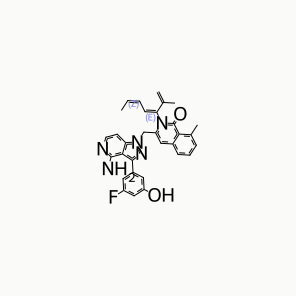 C=C(C)/C(=C\C=C/C)n1c(Cn2nc(-c3cc(O)cc(F)c3)c3c(N)nccc32)cc2cccc(C)c2c1=O